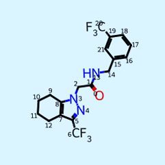 O=C(Cn1nc(C(F)(F)F)c2c1CCCC2)NCc1cccc(C(F)(F)F)c1